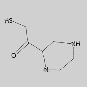 O=C(CS)C1CNCC[N]1